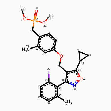 CCOP(=O)(Cc1ccc(OCc2c(-c3c(C)cccc3I)noc2C2CC2)cc1C)OCC